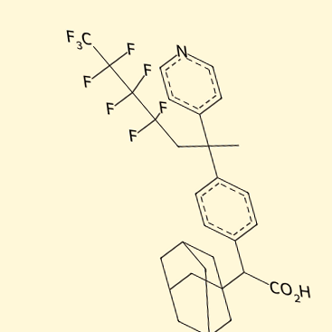 CC(CC(F)(F)C(F)(F)C(F)(F)C(F)(F)F)(c1ccncc1)c1ccc(C(C(=O)O)C23CC4CC(CC(C4)C2)C3)cc1